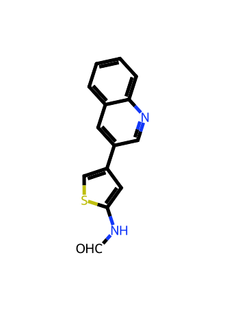 O=CNc1cc(-c2cnc3ccccc3c2)cs1